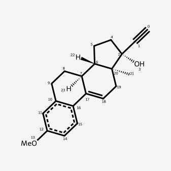 C#C[C@]1(O)CC[C@H]2[C@@H]3CCc4cc(OC)ccc4C3=CC[C@@]21C